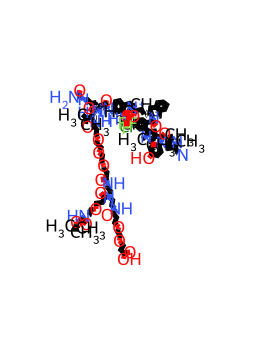 CNCc1cc(NC(=O)[C@H](CCCNC(N)=O)NC(=O)[C@@H](NC(=O)CCOCCOCCOCCC(=O)NCCN(CCNC(=O)CCOCCOCCC(=O)O)C(=O)CCOCCNC(=O)OC(C)(C)C)C(C)C)ccc1C[N+](C)(C)C(CC[C@@H]1Cc2ccccc2CN1C(=O)c1ccc(Cl)cc1-c1cc(C(=O)N(c2ccc(O)cc2)c2cc(C#N)n(C)c2C)c(C)n1C)OC(=O)C(F)(F)F